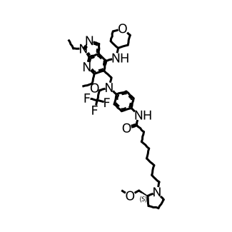 CCc1nc2c(cnn2CC)c(NC2CCOCC2)c1CN(C(=O)C(F)(F)F)c1ccc(NC(=O)CCCCCCCN2CCC[C@H]2COC)cc1